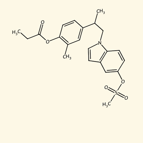 CCC(=O)Oc1ccc(C(C)Cn2ccc3cc(OS(C)(=O)=O)ccc32)cc1C